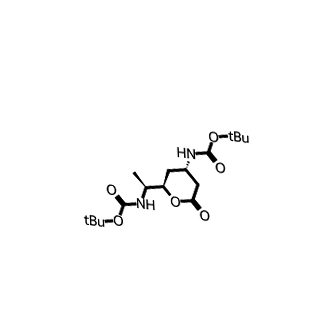 C[C@H](NC(=O)OC(C)(C)C)[C@H]1C[C@H](NC(=O)OC(C)(C)C)CC(=O)O1